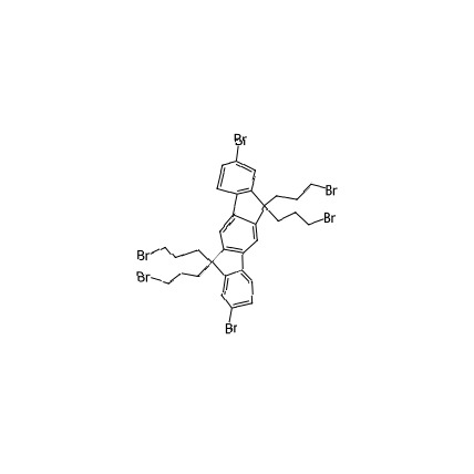 BrCCCC1(CCCBr)c2cc(Br)ccc2-c2cc3c(cc21)-c1ccc(Br)cc1C3(CCCBr)CCCBr